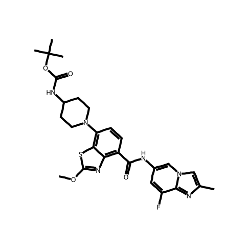 COc1nc2c(C(=O)Nc3cc(F)c4nc(C)cn4c3)ccc(N3CCC(NC(=O)OC(C)(C)C)CC3)c2s1